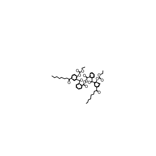 CCCCCCCC(=O)c1ccc(OC(=O)OCC)c(C(=O)c2ccccc2C(=O)OOC(=O)c2ccccc2C(=O)c2cc(C(=O)CCCCCCC)ccc2OC(=O)OCC)c1